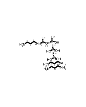 NCCCN.NCCCN.NCCCN.OB(O)F.OB(O)F.OB(O)F.OB(O)F